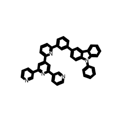 c1ccc(-n2c3ccccc3c3cc(-c4cccc(-c5cccc(-c6cc(-c7cccnc7)nc(-c7cccnc7)c6)n5)c4)ccc32)cc1